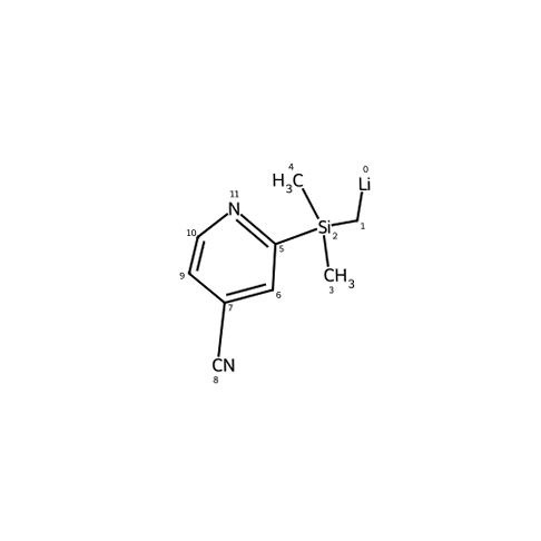 [Li][CH2][Si](C)(C)c1cc(C#N)ccn1